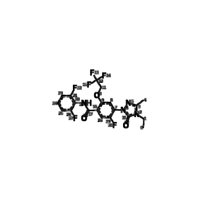 CCn1c(C)nn(-c2cc(OCC(F)(F)F)c(C(=O)Nc3c(F)cccc3F)cc2F)c1=O